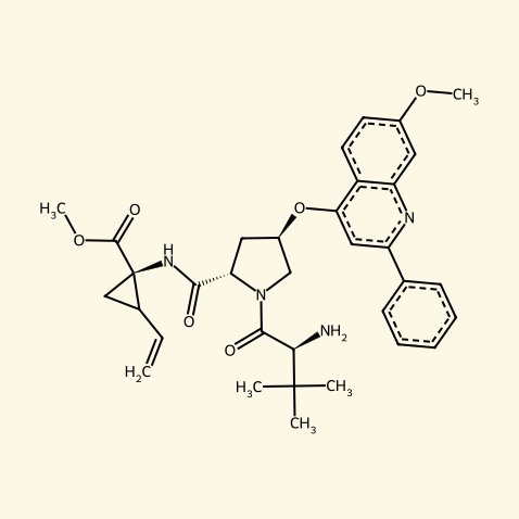 C=CC1C[C@]1(NC(=O)[C@@H]1C[C@@H](Oc2cc(-c3ccccc3)nc3cc(OC)ccc23)CN1C(=O)[C@@H](N)C(C)(C)C)C(=O)OC